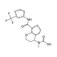 CN(C(=O)O)C1CCOc2c(C(=O)Nc3cccc(C(F)(F)F)c3)cccc21